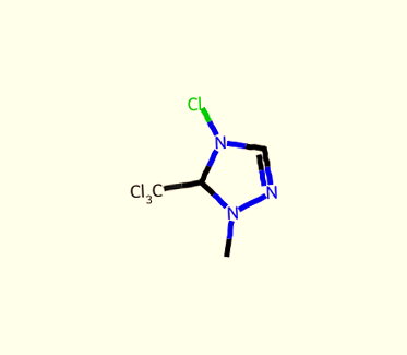 CN1N=CN(Cl)C1C(Cl)(Cl)Cl